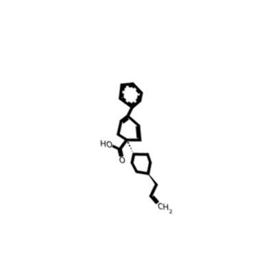 C=CC[C@H]1CC[C@H](C2(C(=O)O)C=CC(c3ccccc3)=CC2)CC1